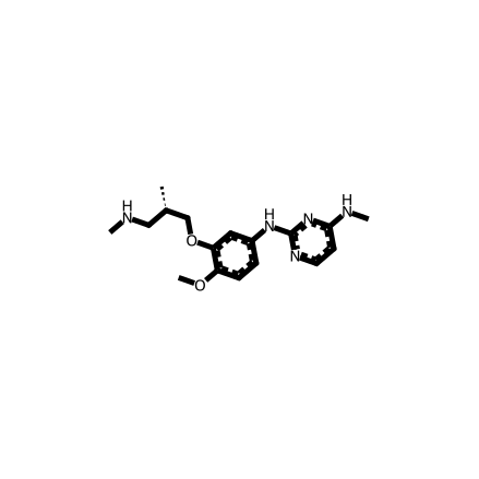 CNC[C@H](C)COc1cc(Nc2nccc(NC)n2)ccc1OC